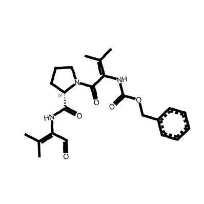 CC(C)=C(C=O)NC(=O)[C@@H]1CCCN1C(=O)C(NC(=O)OCc1ccccc1)=C(C)C